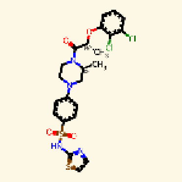 C[C@@H](Oc1cccc(Cl)c1Cl)C(=O)N1CCN(c2ccc(S(=O)(=O)Nc3nccs3)cc2)C[C@@H]1C